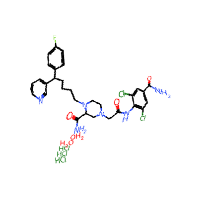 Cl.Cl.Cl.NC(=O)c1cc(Cl)c(NC(=O)CN2CCN(CCCCC(c3ccc(F)cc3)c3cccnc3)C(C(N)=O)C2)c(Cl)c1.O.O